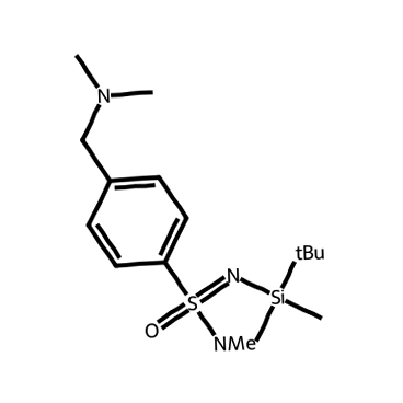 CNS(=O)(=N[Si](C)(C)C(C)(C)C)c1ccc(CN(C)C)cc1